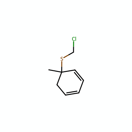 CC1(SCCl)C=CC=CC1